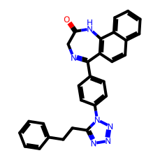 O=C1CN=C(c2ccc(-n3nnnc3CCc3ccccc3)cc2)c2ccc3ccccc3c2N1